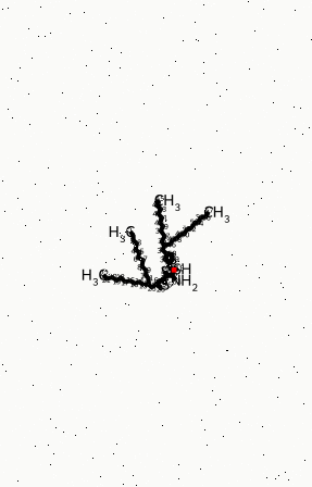 CCCCCCCCCCCCC(CCCCCCCCCC)Cc1csc(-c2sc(-c3cc(CC(CCCCCCCCCC)CCCCCCCCCCCC)cs3)c(S)c2N)c1